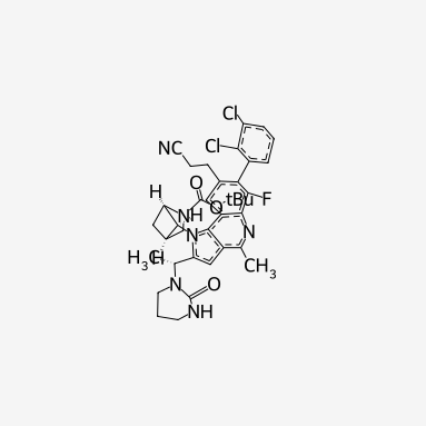 Cc1nc2c(F)c(-c3cccc(Cl)c3Cl)c(CCC#N)cc2c2c1cc([C@@H](C)N1CCCNC1=O)n2[C@H]1[C@@H]2C[C@H]1N(C(=O)OC(C)(C)C)C2